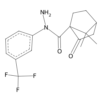 CC1(C)C2CCC1(C(=O)N(N)c1cccc(C(F)(F)F)c1)C(=O)C2